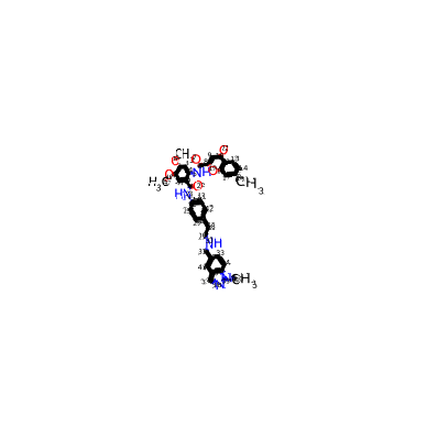 COc1cc(NC(=O)c2cc(=O)c3ccc(C)cc3o2)c(C(=O)Nc2ccc(CCNCc3ccc4c(cnn4C)c3)cc2)cc1OC